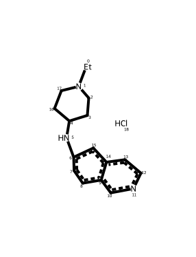 CCN1CCC(Nc2ccc3cnccc3c2)CC1.Cl